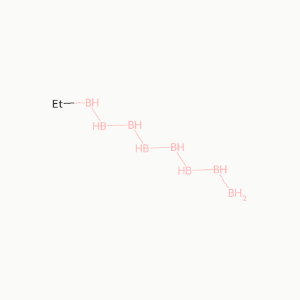 BBBBBBBBCC